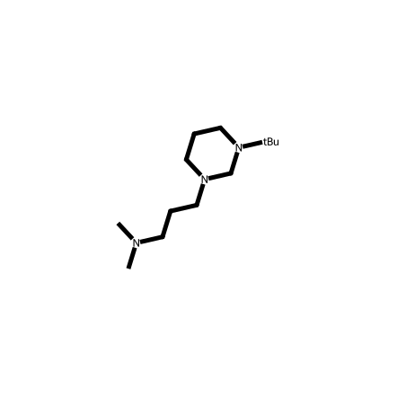 CN(C)CCCN1CCCN(C(C)(C)C)C1